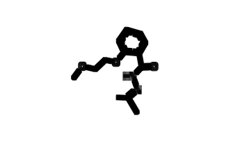 COCCOc1ccccc1C(=O)NN=C(C)C